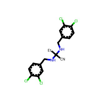 CCC(C#N)(NCc1ccc(Cl)c(Cl)c1)NCc1ccc(Cl)c(Cl)c1